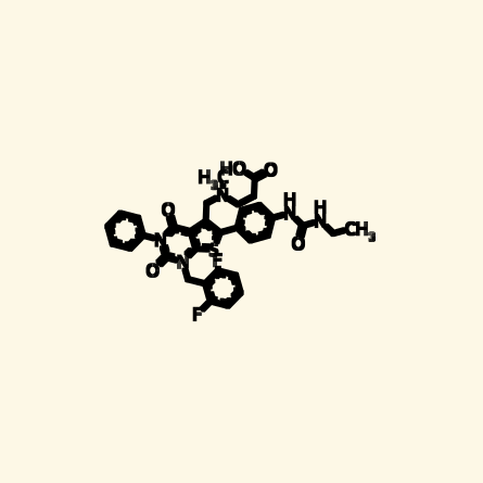 CCNC(=O)Nc1ccc(-c2sc3c(c2CN(C)CCC(=O)O)c(=O)n(-c2ccccc2)c(=O)n3Cc2c(F)cccc2F)cc1